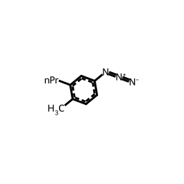 CCCc1cc(N=[N+]=[N-])ccc1C